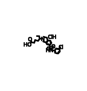 CCC(CCCC(=O)O)N1CCc2ccc(S(=O)(=O)Nc3cccc(Cl)c3)cc2C1.Cl